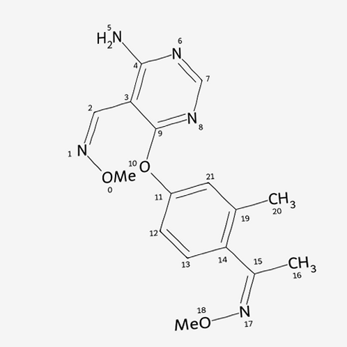 CO/N=C\c1c(N)ncnc1Oc1ccc(/C(C)=N\OC)c(C)c1